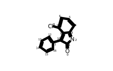 O=C1N=c2cccc(Cl)c2=C1c1ccccc1